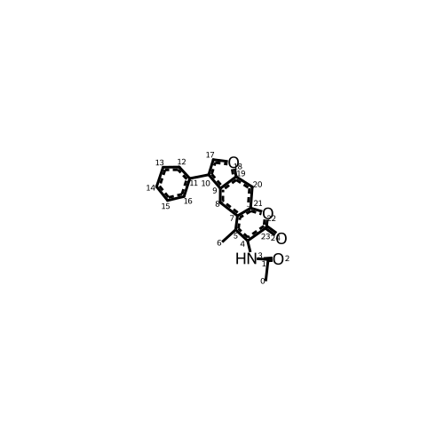 CC(=O)Nc1c(C)c2cc3c(-c4ccccc4)coc3cc2oc1=O